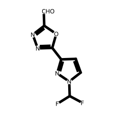 O=Cc1nnc(-c2ccn(C(F)F)n2)o1